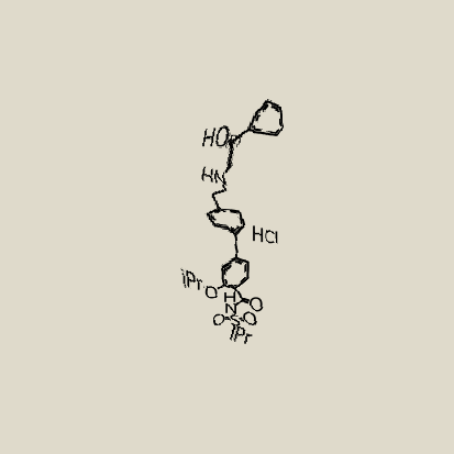 CC(C)Oc1cc(-c2ccc(CCNC[C@H](O)c3ccccc3)cc2)ccc1C(=O)NS(=O)(=O)C(C)C.Cl